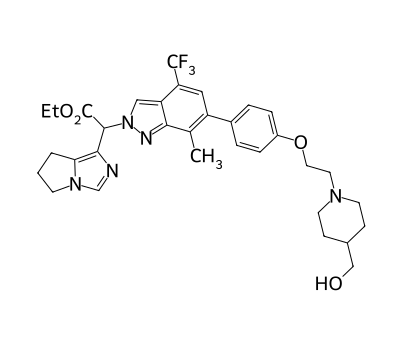 CCOC(=O)C(c1ncn2c1CCC2)n1cc2c(C(F)(F)F)cc(-c3ccc(OCCN4CCC(CO)CC4)cc3)c(C)c2n1